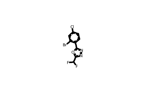 FC(F)c1nnc(-c2ccc(Cl)cc2Br)o1